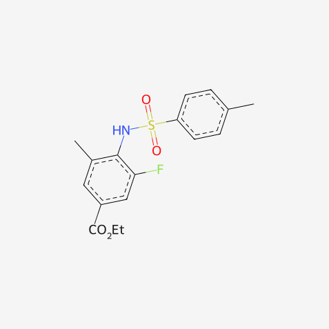 CCOC(=O)c1cc(C)c(NS(=O)(=O)c2ccc(C)cc2)c(F)c1